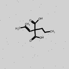 CCCC(C=C(C)C)(C(=O)O)C(=O)O